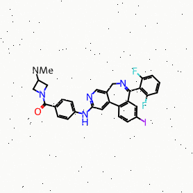 CNC1CN(C(=O)c2ccc(Nc3cc4c(cn3)CN=C(c3c(F)cccc3F)c3cc(I)ccc3-4)cc2)C1